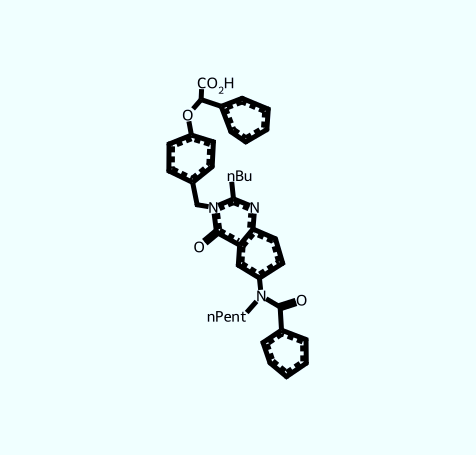 CCCCCN(C(=O)c1ccccc1)c1ccc2nc(CCCC)n(Cc3ccc(OC(C(=O)O)c4ccccc4)cc3)c(=O)c2c1